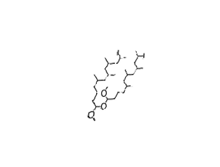 COC(CCCC(C)CC(C)CC(C)CC(C)I)OC(CCCC(C)CC(C)CC(C)CC(C)I)OC